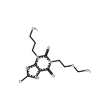 CCCCn1c(=O)n(CCOCC)c(=O)c2[nH]c(Cl)nc21